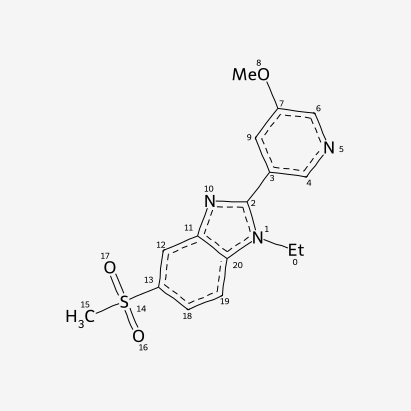 CCn1c(-c2cncc(OC)c2)nc2cc(S(C)(=O)=O)ccc21